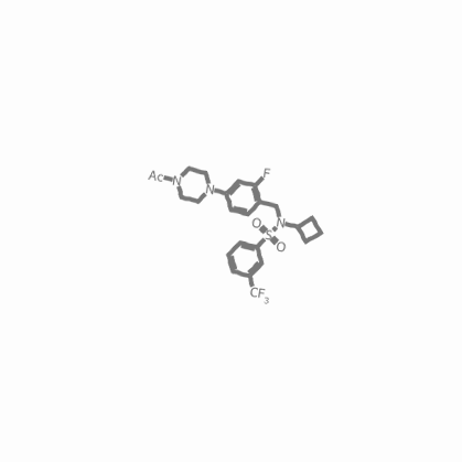 CC(=O)N1CCN(c2ccc(CN(C3CCC3)S(=O)(=O)c3cccc(C(F)(F)F)c3)c(F)c2)CC1